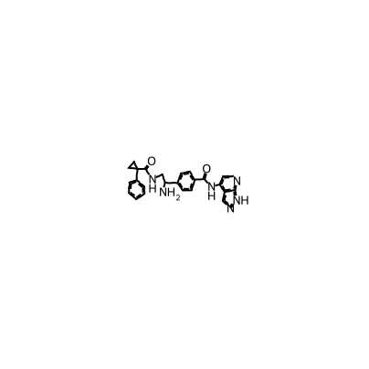 NC(CNC(=O)C1(c2ccccc2)CC1)c1ccc(C(=O)Nc2ccnc3[nH]ncc23)cc1